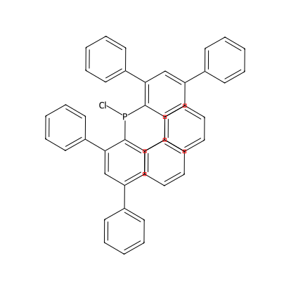 ClP(c1c(-c2ccccc2)cc(-c2ccccc2)cc1-c1ccccc1)c1c(-c2ccccc2)cc(-c2ccccc2)cc1-c1ccccc1